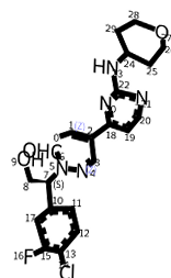 C/C=C(\C=N/N(C=O)[C@H](CO)c1ccc(Cl)c(F)c1)c1ccnc(NC2CCOCC2)n1